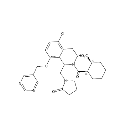 O=C(O)[C@H]1CCCC[C@H]1C(=O)N1CCc2c(Cl)ccc(OCc3cncnc3)c2C1CN1CCCC1=O